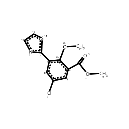 COC(=O)c1cc(Cl)cc(-c2nccs2)c1OC